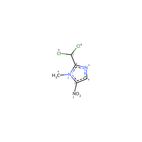 Cn1c([N+](=O)[O-])cnc1C(Cl)Cl